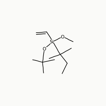 C=C[Si](OC)(OC(C)(C)C)C(C)(C)CC